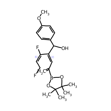 C=C(/C=C(\C(F)=C/CF)C(O)c1ccc(OC)cc1)B1OC(C)(C)C(C)(C)O1